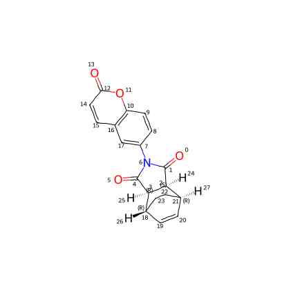 O=C1[C@@H]2[C@H](C(=O)N1c1ccc3oc(=O)ccc3c1)[C@H]1C=C[C@H]2CC1